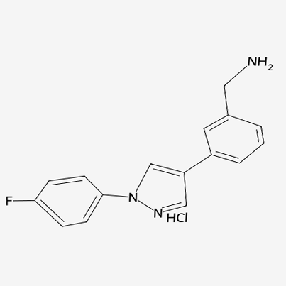 Cl.NCc1cccc(-c2cnn(-c3ccc(F)cc3)c2)c1